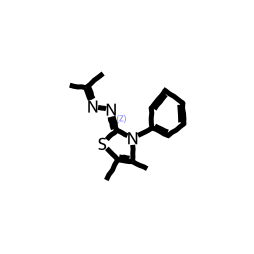 CC(C)=N/N=c1\sc(C)c(C)n1-c1ccccc1